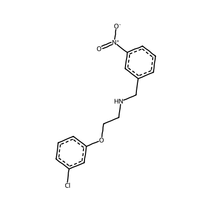 O=[N+]([O-])c1cccc(CNCCOc2cccc(Cl)c2)c1